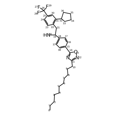 CCCCCCCCCCCc1noc(-c2ccc(C([NH])Cc3ccc(C(F)(F)F)cc3C3CCCC3)cc2)n1